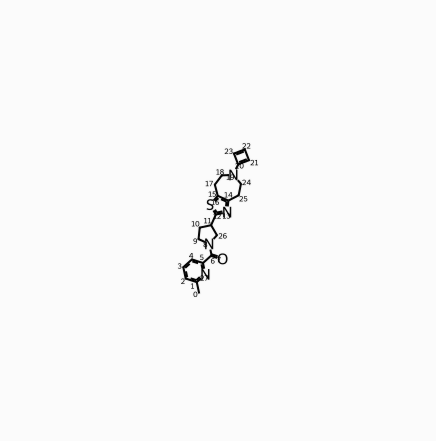 Cc1cccc(C(=O)N2CCC(c3nc4c(s3)CCN(C3=CC=C3)CC4)C2)n1